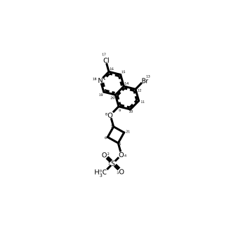 CS(=O)(=O)OC1CC(Oc2ccc(Br)c3cc(Cl)ncc23)C1